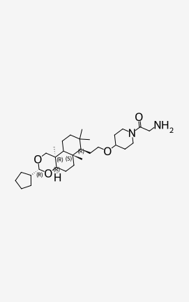 CC1(C)CCC2[C@]3(C)CO[C@@H](C4CCCC4)O[C@@H]3CC[C@@]2(C)[C@@H]1CCOC1CCN(C(=O)CN)CC1